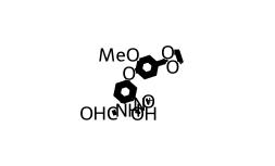 COc1cc(C2OCCO2)ccc1Oc1ccc(NC=O)c([N+](=O)O)c1